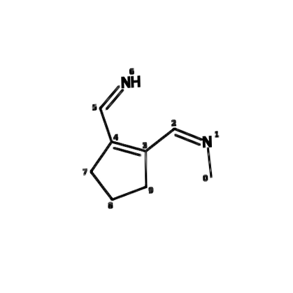 C/N=C\C1=C(C=N)CCC1